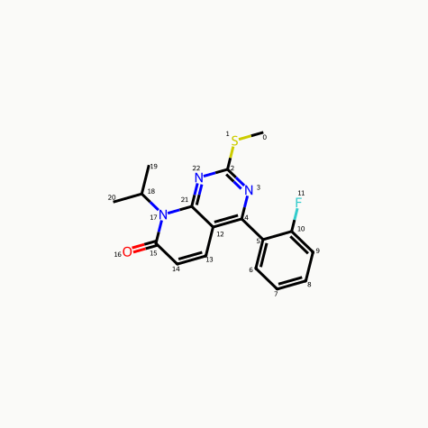 CSc1nc(-c2ccccc2F)c2ccc(=O)n(C(C)C)c2n1